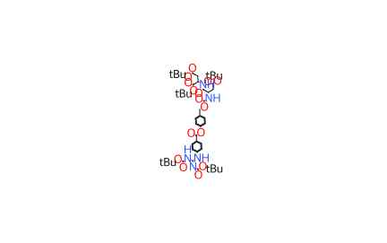 CC(C)(C)OC(=O)CC(NC(=O)OCc1ccc(OC(=O)c2ccc(NC(=NC(=O)OC(C)(C)C)NC(=O)OC(C)(C)C)cc2)cc1)C(=O)NC(CC(=O)OC(C)(C)C)C(=O)OC(C)(C)C